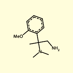 COc1ccccc1C(C)(CN)N(C)C